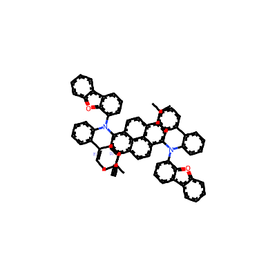 C#C/C=C\C(=C/C)c1ccccc1N(c1cc(C(C)C)c2ccc3c(N(c4ccccc4-c4ccccc4)c4cccc5c4oc4ccccc45)cc(C(C)C)c4ccc1c2c43)c1cccc2c1oc1ccccc12